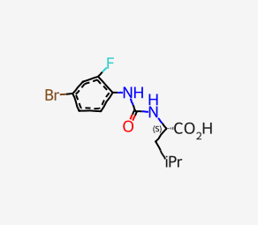 CC(C)C[C@H](NC(=O)Nc1ccc(Br)cc1F)C(=O)O